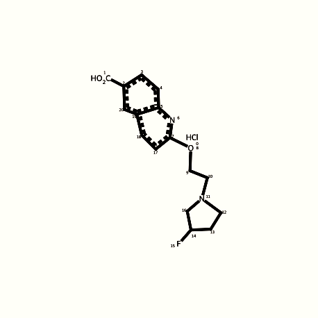 Cl.O=C(O)c1ccc2nc(OCCN3CCC(F)C3)ccc2c1